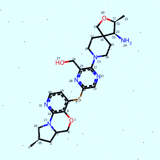 C[C@@H]1CC2COc3c(Sc4cnc(N5CCC6(CC5)CO[C@@H](C)[C@H]6N)c(CO)n4)ccnc3N2C1